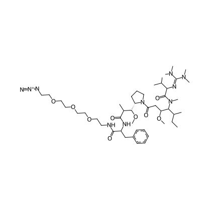 CCC(C)C(C(CC(=O)N1CCC[C@H]1C(OC)C(C)C(=O)NC(Cc1ccccc1)C(=O)NCCOCCOCCOCCN=[N+]=[N-])OC)N(C)C(=O)C(N=C(N(C)C)N(C)C)C(C)C